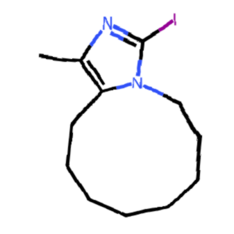 Cc1nc(I)n2c1CCCCCCCC2